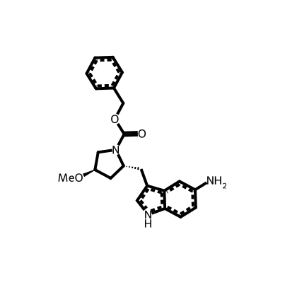 CO[C@@H]1C[C@@H](Cc2c[nH]c3ccc(N)cc23)N(C(=O)OCc2ccccc2)C1